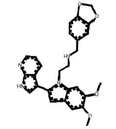 COc1cc2cc(-c3c[nH]c4ncccc34)n(CCNCc3ccc4c(c3)OCO4)c2cc1OC